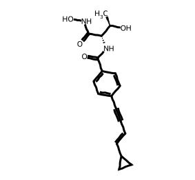 C[C@@H](O)[C@H](NC(=O)c1ccc(C#C/C=C/C2CC2)cc1)C(=O)NO